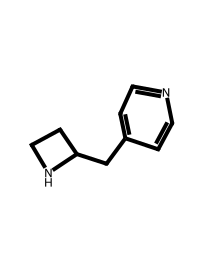 c1cc(CC2CCN2)ccn1